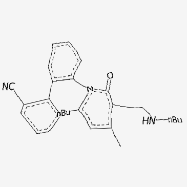 CCCCNCc1c(C)cc(CCCC)n(-c2ccccc2-c2ccccc2C#N)c1=O